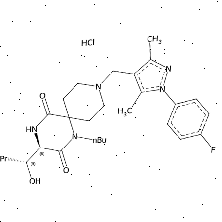 CCCCN1C(=O)[C@@H]([C@H](O)C(C)C)NC(=O)C12CCN(Cc1c(C)nn(-c3ccc(F)cc3)c1C)CC2.Cl